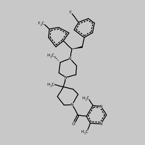 Cc1ncnc(C)c1C(=O)N1CCC(C)(N2CCN([C@H](Cc3cccc(F)c3)c3ccc(C(F)(F)F)cc3)[C@@H](C)C2)CC1